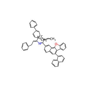 C=C=C(C)/C(=N\C(=C/Cc1ccccc1)C1(C)C=CC(c2ccccc2)=CC1)c1ccc2cc(-c3cccc4ccccc34)c3c4ccccc4oc3c2c1